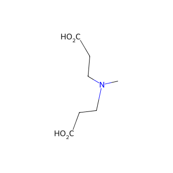 CN(CCC(=O)O)CCC(=O)O